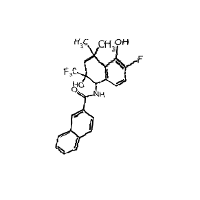 CC1(C)CC(O)(C(F)(F)F)C(NC(=O)c2ccc3ccccc3c2)c2ccc(F)c(O)c21